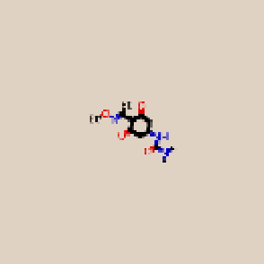 CCON=C(CC)C1C(=O)CC(NC(=O)N(C)C)CC1=O